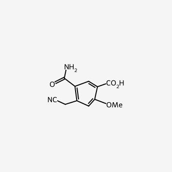 COc1cc(CC#N)c(C(N)=O)cc1C(=O)O